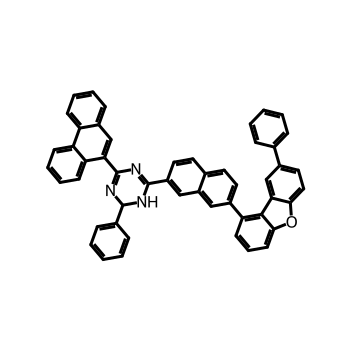 c1ccc(-c2ccc3oc4cccc(-c5ccc6ccc(C7=NC(c8cc9ccccc9c9ccccc89)=NC(c8ccccc8)N7)cc6c5)c4c3c2)cc1